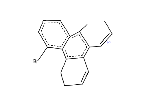 C/C=C\c1c2c(c3c(Br)cccc3c1C)CCC=C2